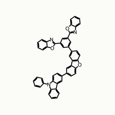 c1ccc(-n2c3ccccc3c3cc(-c4ccc5oc6ccc(-c7cc(-c8nc9ccccc9o8)cc(-c8nc9ccccc9o8)c7)cc6c5c4)ccc32)cc1